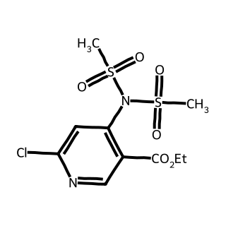 CCOC(=O)c1cnc(Cl)cc1N(S(C)(=O)=O)S(C)(=O)=O